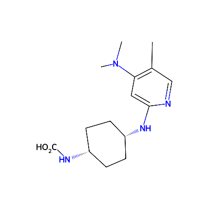 Cc1cnc(N[C@H]2CC[C@@H](NC(=O)O)CC2)cc1N(C)C